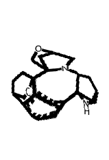 c1cc2c3cc1C14CC(CN1)CC4N1CC4CC1(CO4)C31CCC2CC1